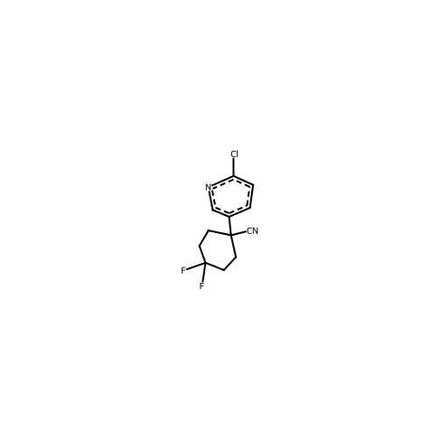 N#CC1(c2ccc(Cl)nc2)CCC(F)(F)CC1